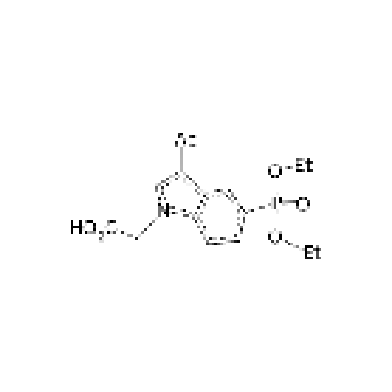 CCOP(=O)(OCC)c1ccc2c(c1)c(C(C)=O)cn2CC(=O)O